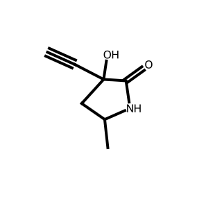 C#CC1(O)CC(C)NC1=O